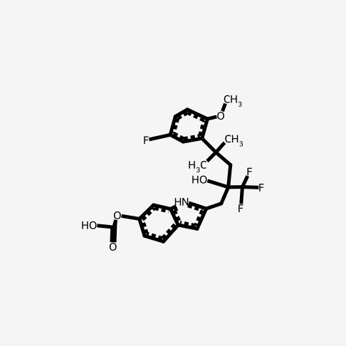 COc1ccc(F)cc1C(C)(C)CC(O)(Cc1cc2ccc(OC(=O)O)cc2[nH]1)C(F)(F)F